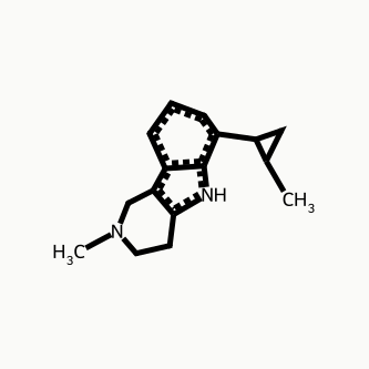 CC1CC1c1cccc2c3c([nH]c12)CCN(C)C3